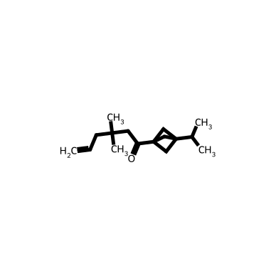 C=CCC(C)(C)CC(=O)C12CC(C(C)C)(C1)C2